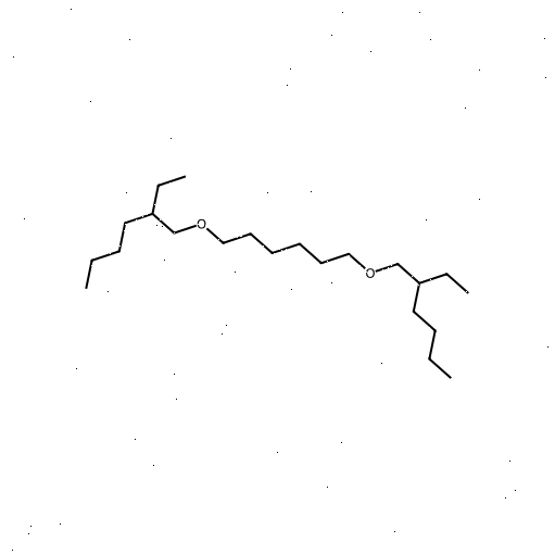 CCCCC(CC)COCCCCCCOCC(CC)CCCC